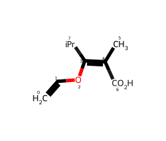 C=COC(=C(C)C(=O)O)C(C)C